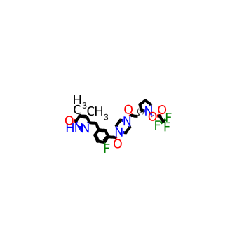 Cc1c(Cc2ccc(F)c(C(=O)N3CCN(C(=O)C[C@@H]4CCCN4OC(=O)C(F)(F)F)CC3)c2)n[nH]c(=O)c1C